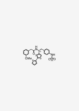 COc1cccc(CC(=O)N[C@@H](Cc2ccc(N[SH](=O)=O)cc2)c2csc(-c3cccs3)n2)c1